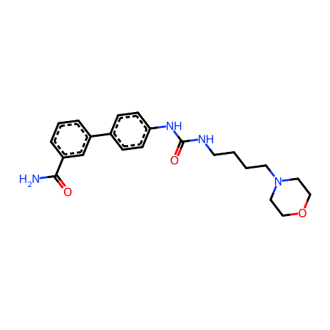 NC(=O)c1cccc(-c2ccc(NC(=O)NCCCCN3CCOCC3)cc2)c1